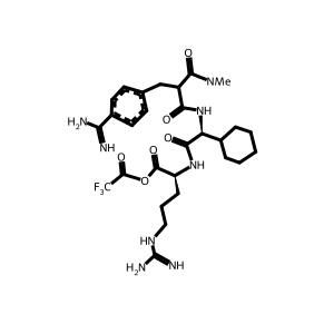 CNC(=O)C(Cc1ccc(C(=N)N)cc1)C(=O)N[C@H](C(=O)N[C@@H](CCCNC(=N)N)C(=O)OC(=O)C(F)(F)F)C1CCCCC1